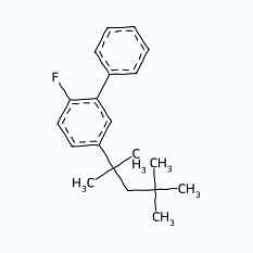 CC(C)(C)CC(C)(C)c1ccc(F)c(-c2ccccc2)c1